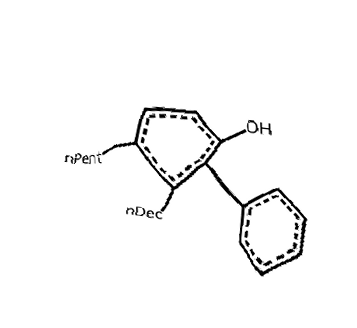 CCCCCCCCCCc1c(CCCCC)ccc(O)c1-c1ccccc1